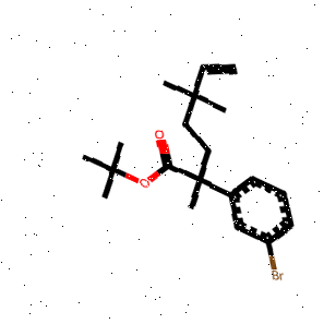 C=CC(C)(C)CCC(C)(C(=O)OC(C)(C)C)c1cccc(Br)c1